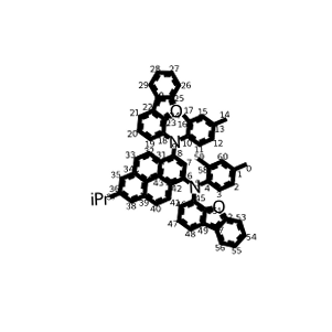 Cc1ccc(N(c2cc(N(c3ccc(C)cc3C)c3cccc4c3oc3ccccc34)c3ccc4cc(C(C)C)cc5ccc2c3c54)c2cccc3c2oc2ccccc23)c(C)c1